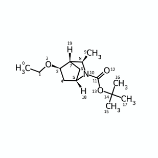 CCO[C@@H]1C[C@@H]2C[C@H]1[C@@H](C)N2C(=O)OC(C)(C)C